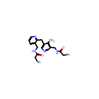 Cc1c(CNC(=O)CC(C)C)cncc1Cc1ncccc1CNC(=O)CC(C)C